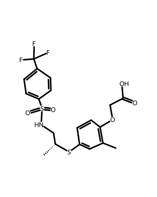 Cc1cc(S[C@H](C)CNS(=O)(=O)c2ccc(C(F)(F)F)cc2)ccc1OCC(=O)O